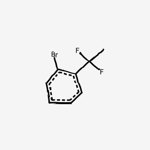 CC(F)(F)c1ccccc1Br